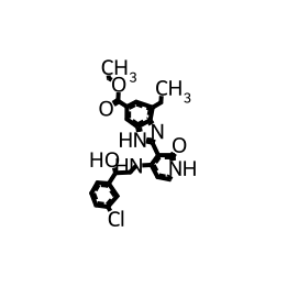 CCOC(=O)c1cc(CC)c2nc(-c3c(NCC(O)c4cccc(Cl)c4)cc[nH]c3=O)[nH]c2c1